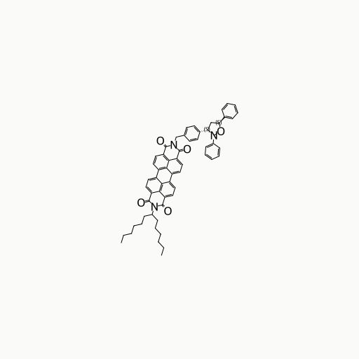 CCCCCCC(CCCCCC)N1C(=O)c2ccc3c4ccc5c6c(ccc(c7ccc(c2c37)C1=O)c64)C(=O)N(Cc1ccc([C@@H]2C[C@@H](c3ccccc3)ON2c2ccccc2)cc1)C5=O